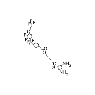 Nc1cc(N)cc(C(=O)OCCCCCCOC(=O)/C=C/c2ccc(OC(F)(F)c3ccc(OCCCC(F)(F)F)c(F)c3F)cc2)c1